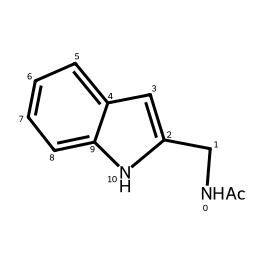 CC(=O)NCc1cc2ccccc2[nH]1